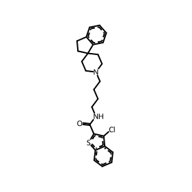 O=C(NCCCCN1CCC2(CCc3ccccc32)CC1)c1sc2ccccc2c1Cl